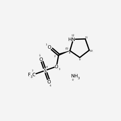 N.O=C(OS(=O)(=O)C(F)(F)F)[C@@H]1CCCN1